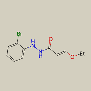 CCOC=CC(=O)NNc1ccccc1Br